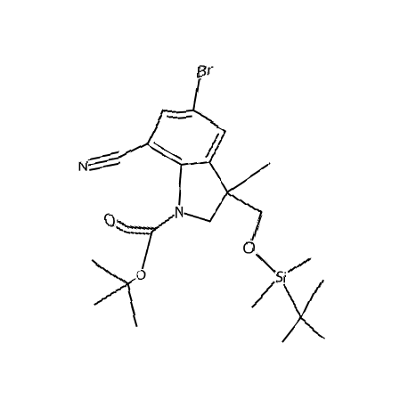 CC(C)(C)OC(=O)N1CC(C)(CO[Si](C)(C)C(C)(C)C)c2cc(Br)cc(C#N)c21